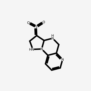 O=S(=O)=C1CNN2c3cccnc3CNC12